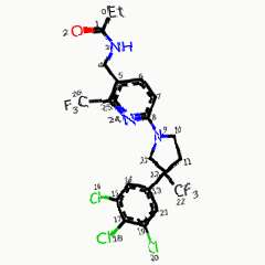 CCC(=O)NCc1ccc(N2CCC(c3cc(Cl)c(Cl)c(Cl)c3)(C(F)(F)F)C2)nc1C(F)(F)F